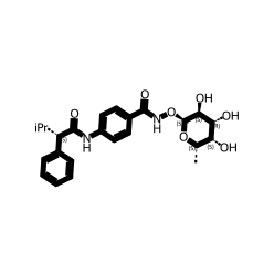 CC(C)[C@H](C(=O)Nc1ccc(C(=O)NO[C@@H]2O[C@@H](C)[C@@H](O)[C@@H](O)[C@@H]2O)cc1)c1ccccc1